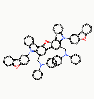 c1ccc(N(Cc2cc3c4cc(CN(c5ccccc5)c5ccccc5)c5c(c6ccccc6n5-c5ccc6oc7ccccc7c6c5)c4oc3c3c4ccccc4n(-c4ccc5oc6ccccc6c5c4)c23)c2ccccc2)cc1